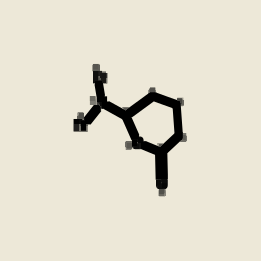 CCN(CC)C1CCCC(=O)O1